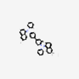 Cc1ccc2c(N(c3ccccc3)c3ccc(-c4ccc(N(c5ccccc5)c5cccc6cc(C)ccc56)c(C)c4)cc3C)cccc2c1